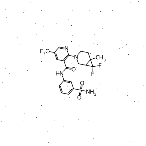 CC12CCN(c3ncc(C(F)(F)F)cc3C(=O)Nc3cccc(S(N)(=O)=O)c3)CC1C2(F)F